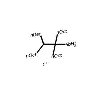 CCCCCCCCCCC(CCCCCCCC)[C]([SbH3+])(CCCCCCCC)CCCCCCCC.[Cl-]